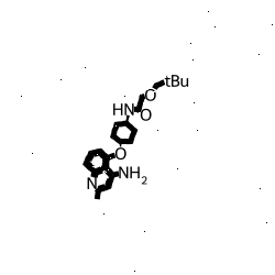 Cc1cc(N)c2c(O[C@H]3CC[C@H](NC(=O)COCC(C)(C)C)CC3)cccc2n1